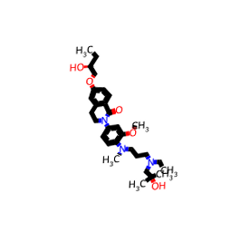 CC[C@H](O)COc1ccc2c(c1)CCN(c1ccc(N(C)CCCN(CC)CC(C)(C)O)c(OC)c1)C2=O